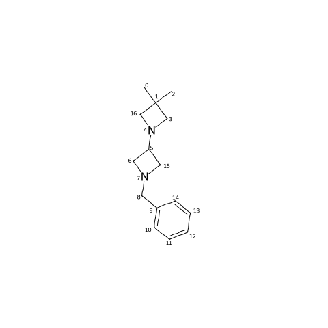 CC1(C)CN(C2CN(Cc3ccccc3)C2)C1